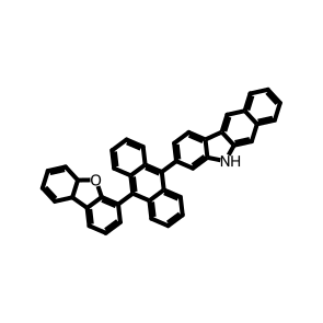 C1=CC2Oc3c(-c4c5ccccc5c(-c5ccc6c(c5)[nH]c5cc7ccccc7cc56)c5ccccc45)cccc3C2C=C1